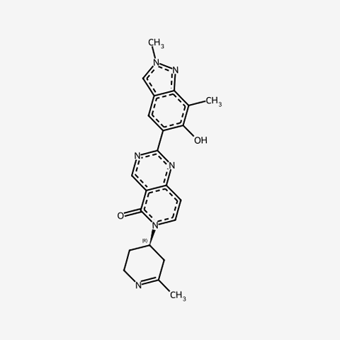 CC1=NCC[C@@H](n2ccc3nc(-c4cc5cn(C)nc5c(C)c4O)ncc3c2=O)C1